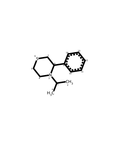 CC(C)N1CCSCC1c1ccccc1